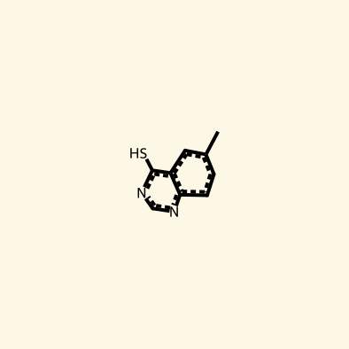 Cc1ccc2ncnc(S)c2c1